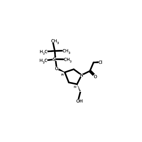 CC(C)(C)[Si](C)(C)O[C@@H]1C[C@@H](CO)N(C(=O)CCl)C1